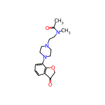 CC(=O)N(C)CCN1CCN(c2cccc3c2OCC3=O)CC1